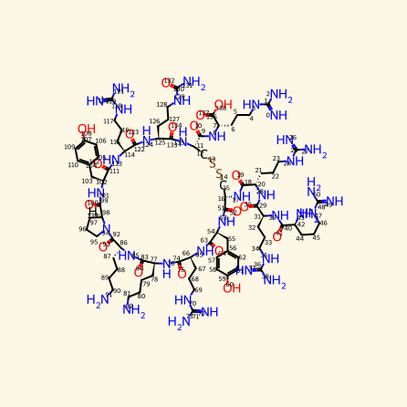 N=C(N)NCCC[C@H](NC(=O)[C@@H]1CSSC[C@H](NC(=O)[C@H](CCCNC(=N)N)NC(=O)[C@H](CCCNC(=N)N)NC(=O)[C@@H](N)CCCNC(=N)N)C(=O)N[C@@H](Cc2ccc(O)cc2)C(=O)N[C@@H](CCCNC(=N)N)C(=O)N[C@@H](CCCCN)C(=O)N[C@H](CCCCN)C(=O)N2CCC[C@H]2C(=O)N[C@@H](Cc2ccc(O)cc2)C(=O)N[C@@H](CCCNC(=N)N)C(=O)N[C@@H](CCCNC(N)=O)C(=O)N1)C(=O)O